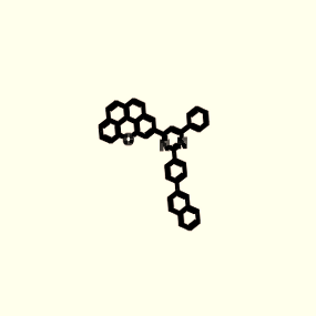 c1ccc(-c2cc(-c3cc4c5c(ccc6ccc7cccc(c7c65)O4)c3)nc(-c3ccc(-c4ccc5ccccc5c4)cc3)n2)cc1